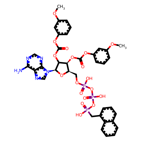 COc1cccc(OC(=O)OC2[C@@H](OC(=O)Oc3cccc(OC)c3)[C@@H](COP(=O)(O)OP(=O)(O)OP(=O)(O)Cc3cccc4ccccc34)O[C@H]2n2cnc3c(N)ncnc32)c1